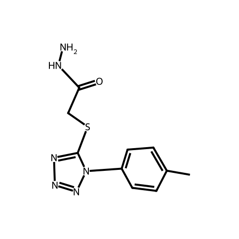 Cc1ccc(-n2nnnc2SCC(=O)NN)cc1